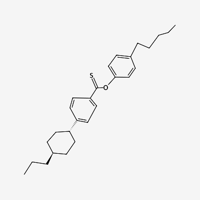 CCCCCc1ccc(OC(=S)c2ccc([C@H]3CC[C@H](CCC)CC3)cc2)cc1